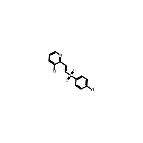 O=S(=O)(/C=C/c1ncccc1Cl)c1ccc(Cl)cc1